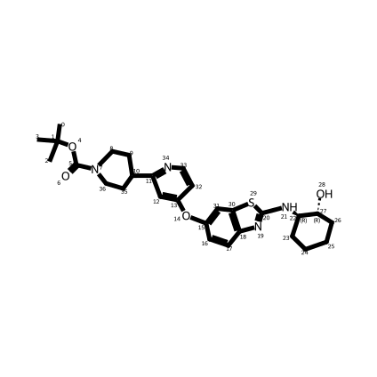 CC(C)(C)OC(=O)N1CCC(c2cc(Oc3ccc4nc(N[C@@H]5CCCC[C@H]5O)sc4c3)ccn2)CC1